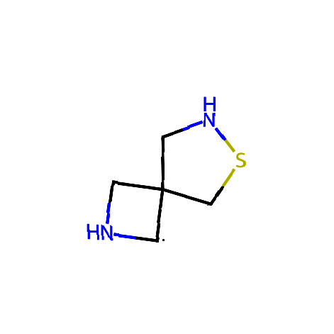 [CH]1NCC12CNSC2